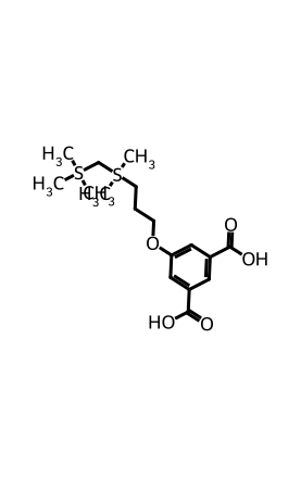 CS(C)(C)CS(C)(C)CCCOc1cc(C(=O)O)cc(C(=O)O)c1